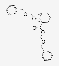 O=C(OCOCc1ccccc1)C12CCCC(CC1)C2OCOCc1ccccc1